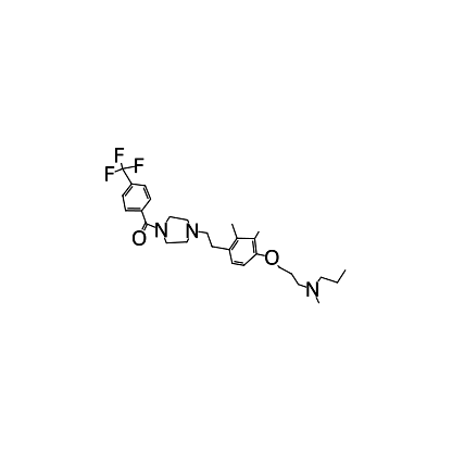 CCCN(C)CCCOc1ccc(CCN2CCN(C(=O)c3ccc(C(F)(F)F)cc3)CC2)c(C)c1C